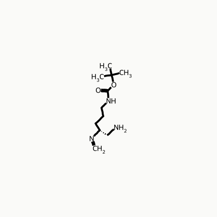 C=N[C@@H](CN)CCCNC(=O)OC(C)(C)C